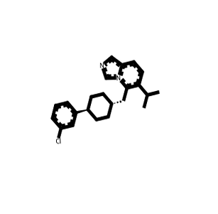 CC(C)c1ccc2cncn2c1C[C@H]1CC[C@H](c2cccc(Cl)c2)CC1